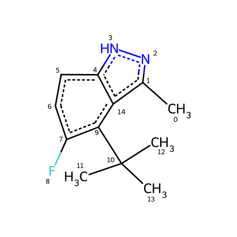 Cc1n[nH]c2ccc(F)c(C(C)(C)C)c12